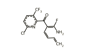 C=C/C=C\C(C(=O)c1nc(Cl)ccc1C(F)(F)F)=C(/N)F